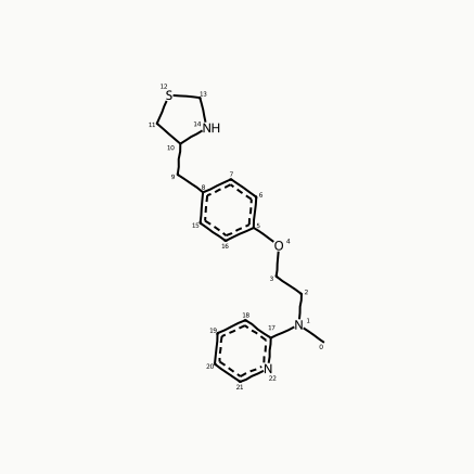 CN(CCOc1ccc(CC2CSCN2)cc1)c1ccccn1